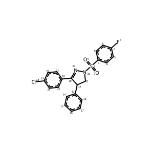 O=S(=O)(c1ccc(F)cc1)N1CC(c2ccccc2)C(c2ccc(Cl)cc2)=N1